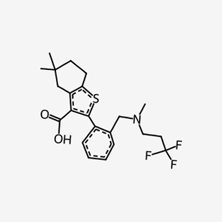 CN(CCC(F)(F)F)Cc1ccccc1-c1sc2c(c1C(=O)O)CC(C)(C)CC2